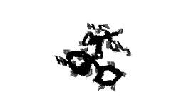 CC(C)(I)C(=O)OC1(c2ccccc2)CC2CC1CN2